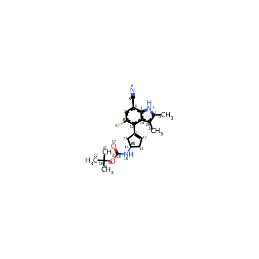 Cc1[nH]c2c(C#N)cc(F)c(C3=CC[C@@H](NC(=O)OC(C)(C)C)C3)c2c1C